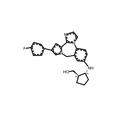 OC[C@@H]1CCC[C@H]1Nc1ccc2c(c1)Cn1cc(-c3ccc(F)cc3)cc1-c1nccn1-2